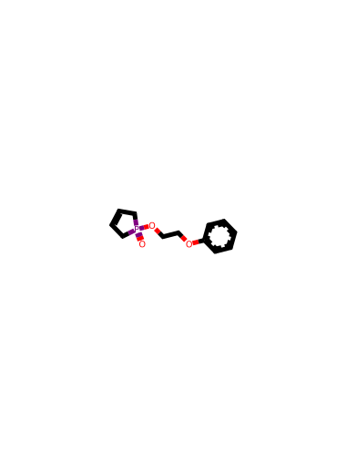 O=P1(OCCOc2ccccc2)CC=CC1